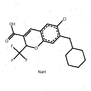 O=C(O)C1=Cc2cc(Cl)c(CC3CCCCC3)cc2OC1C(F)(F)F.[NaH]